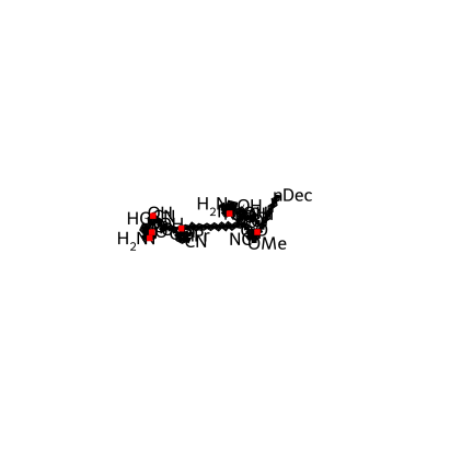 C=N[C@]1(COP(=O)(O)OC[C@@H](CCCCCCCCCCCCCCCCCCC)Oc2cc(OC)c(C#N)c(OCCCCCCCCCCCCCCCCCCCC[C@H](COP(=O)(O)OC[C@@]3(C#N)O[C@@H](c4ccc5c(N)ncnn45)[C@H](O)[C@@H]3O)Oc3ccc(C#N)c(OC(C)C)c3)c2)O[C@@H](c2ccc3c(N)ncnn23)[C@H](O)[C@@H]1O